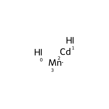 I.I.[Cd].[Mn]